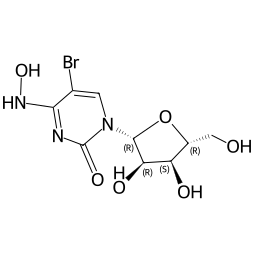 O=c1nc(NO)c(Br)cn1[C@@H]1O[C@H](CO)[C@@H](O)[C@H]1O